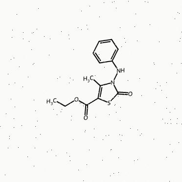 CCOC(=O)c1sc(=O)n(Nc2ccccc2)c1C